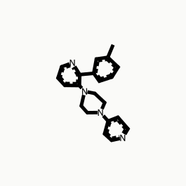 Cc1cccc(-c2ncccc2N2CCN(c3ccncc3)CC2)c1